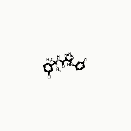 CC(C)(NC(=O)c1nnsc1Nc1cccc(Cl)c1)c1cccc(Cl)c1